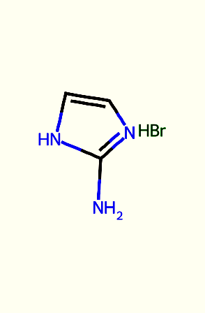 Br.Nc1ncc[nH]1